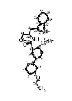 CCCOc1ccc(-c2cccc(OCC(F)(F)F)c2)cc1C(=O)N[C@@H](CO)Cc1c[nH]c2ccccc12